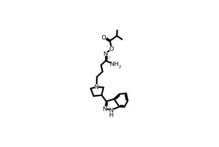 CC(C)C(=O)O/N=C(\N)CCCN1CCC(c2n[nH]c3ccccc23)C1